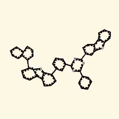 c1ccc(-c2nc(-c3cccc(-c4cccc5c4sc4c(-c6cccc7ccccc67)cccc45)c3)nc(-c3ccc4c(c3)oc3ccccc34)n2)cc1